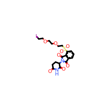 O=C1CCC(N2C(=O)c3cccc(S(=O)(=O)CCOCCOCCI)c3C2=O)C(=O)N1